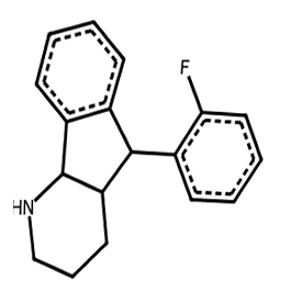 Fc1ccccc1C1c2ccccc2C2NCCCC21